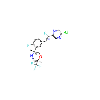 C[C@]1(C(F)(F)F)C=N[C@](C)(c2cc(/C=C(\F)c3cnc(Cl)cn3)ccc2F)CO1